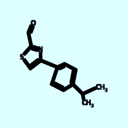 CC(C)c1ccc(-c2csc(C=O)n2)cc1